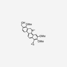 COc1cc2c3c(ccc2c(C2CC2)c1OC)-c1ccc(CO)c(OC)c1CN3C